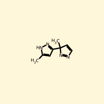 Cc1cc(C2(C)C=CN=N2)n[nH]1